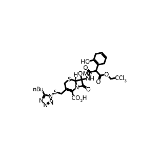 CCCCc1nnnn1SCC1=C(C(=O)O)N2C(=O)C(NC(=O)C(C(=O)OCC(Cl)(Cl)Cl)C3=C(O)CC=CC3)(OC)[C@H]2SC1